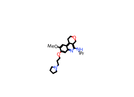 COc1cc2c3c(c(NC(C)C)nc2cc1OCCCN1CCCC1)COCC3